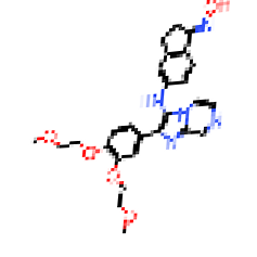 COCCOc1ccc(-c2nc3cnccn3c2Nc2ccc3c(c2)CCC3=NO)cc1OCCOC